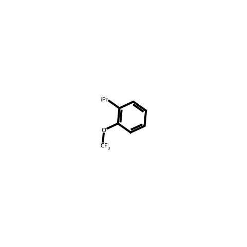 CC(C)c1ccc[c]c1OC(F)(F)F